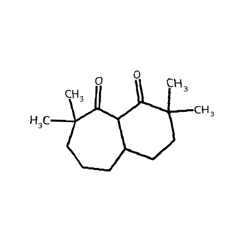 CC1(C)CCCC2CCC(C)(C)C(=O)C2C1=O